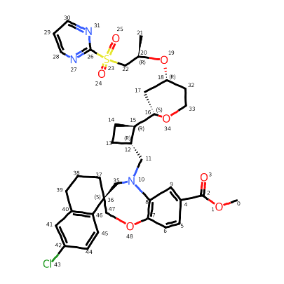 COC(=O)c1ccc2c(c1)N(C[C@@H]1CC[C@H]1[C@@H]1C[C@H](O[C@H](C)CS(=O)(=O)c3ncccn3)CCO1)C[C@@]1(CCCc3cc(Cl)ccc31)CO2